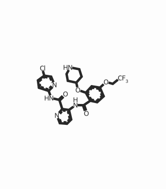 O=C(Nc1cccnc1C(=O)Nc1ccc(Cl)cn1)c1ccc(OCC(F)(F)F)cc1OC1CCNCC1